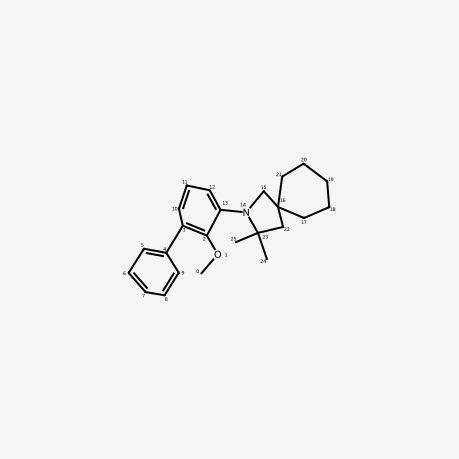 COc1c(-c2ccccc2)cccc1N1CC2(CCCCC2)CC1(C)C